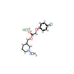 CN1CCCC(COC(=O)COc2ccc(Cl)cc2)C1.Cl